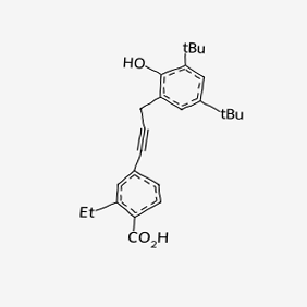 CCc1cc(C#CCc2cc(C(C)(C)C)cc(C(C)(C)C)c2O)ccc1C(=O)O